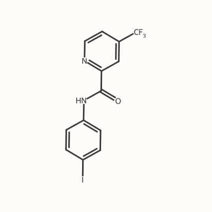 O=C(Nc1ccc(I)cc1)c1cc(C(F)(F)F)ccn1